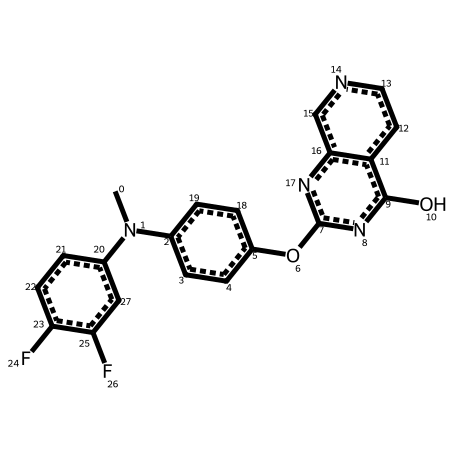 CN(c1ccc(Oc2nc(O)c3ccncc3n2)cc1)c1ccc(F)c(F)c1